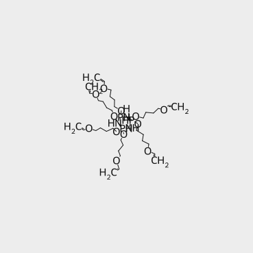 C=COCCCCO[PH]1(OCCCCOC=C)N[PH](OCCCCOC=C)(OCCCCOC=C)N[PH](OCCCCOC=C)(OCCCCOC=C)N1